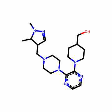 CC1C(CN2CCN(c3nccnc3N3CCC(CO)CC3)CC2)C=NN1C